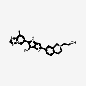 Cc1cc(-c2[nH]c3cc(-c4ccc5c(c4)CN(CCO)CC5)sc3c2C(C)C)cn2ncnc12